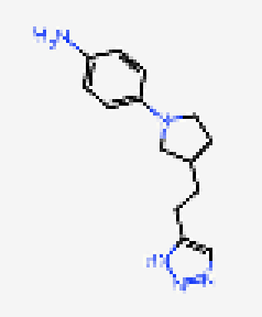 Nc1ccc(N2CCC(CCc3cnn[nH]3)C2)cc1